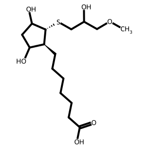 COCC(O)CS[C@H]1C(O)CC(O)[C@@H]1CCCCCCC(=O)O